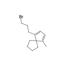 CC1=CC=C(CCCBr)C12CCCC2